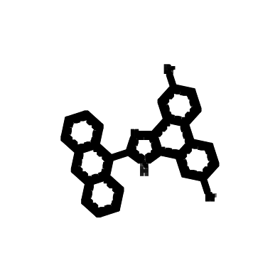 Brc1ccc2c3ccc(Br)cc3c3[nH]c(-c4c5ccccc5cc5ccccc45)nc3c2c1